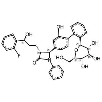 O=C1[C@H](CC[C@H](O)c2ccccc2F)[C@@H](c2ccc(-c3ccccc3[C@@H]3O[C@H](CO)[C@@H](O)[C@H](O)[C@H]3O)c(O)c2)N1c1ccccc1